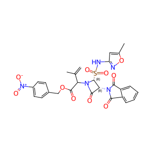 C=C(C)C(C(=O)OCc1ccc([N+](=O)[O-])cc1)N1C(=O)[C@@H](N2C(=O)c3ccccc3C2=O)[C@H]1S(=O)(=O)Nc1cc(C)on1